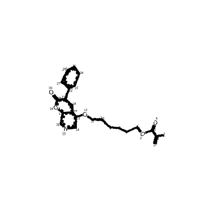 C=C(C)C(=O)OCCCCCCOc1cncc2oc(=O)c(-c3ccccc3)cc12